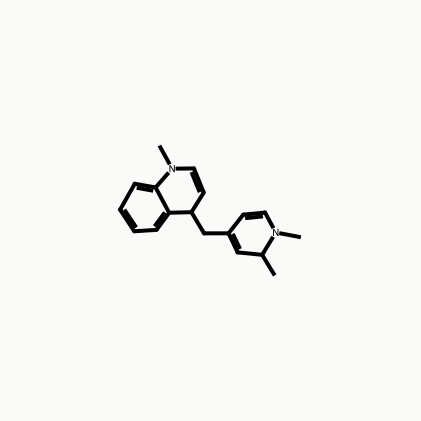 CC1C=C(CC2C=CN(C)c3ccccc32)C=CN1C